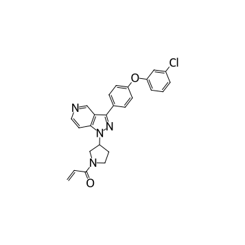 C=CC(=O)N1CCC(n2nc(-c3ccc(Oc4cccc(Cl)c4)cc3)c3cnccc32)C1